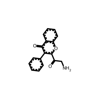 NCC(=O)c1oc2ccccc2c(=O)c1-c1ccccc1